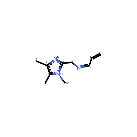 C=C/C=N\Cc1nc(C)c(C)n1C